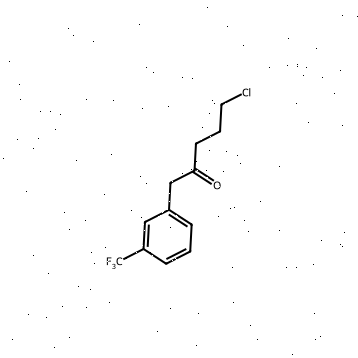 O=C(CCCCl)Cc1cccc(C(F)(F)F)c1